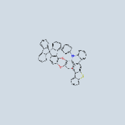 c1ccc(N(c2ccccc2-c2ccc3c(c2)sc2ccccc23)c2cccc3c2Oc2c(ccc4c2-c2ccccc2C42c4ccccc4-c4ccccc42)O3)cc1